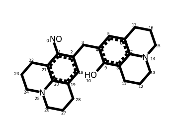 O=Nc1c(Cc2cc3c4c(c2O)CCCN4CCC3)cc2c3c1CCCN3CCC2